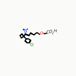 CN(C)C(CCCCCOCC(=O)O)C1(c2ccc(Cl)cc2)CCC1